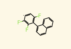 Fc1[c]cc(F)c(-c2cccc3ccccc23)c1F